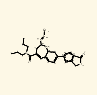 CCCN(CCC)C(=O)C1=CC2=CC=C(c3ccc4c(c3)COC4=O)CC2NC(N=NN)C1